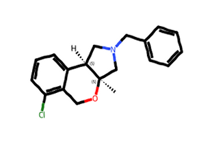 C[C@@]12CN(Cc3ccccc3)C[C@@H]1c1cccc(Cl)c1CO2